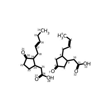 C/C=C\CC1CC(=O)CC1CC(=O)O.CCC=CCC1C(=O)CCC1CC(=O)O